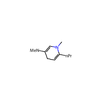 CCCC1=CCC(NC)=CN1C